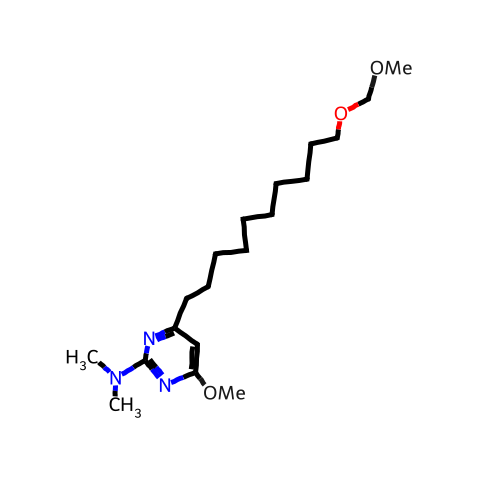 COCOCCCCCCCCCCc1cc(OC)nc(N(C)C)n1